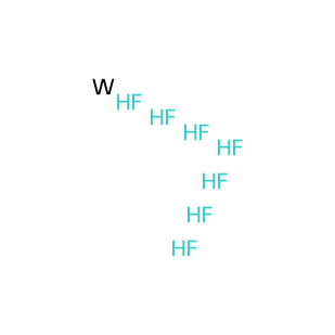 F.F.F.F.F.F.F.[W]